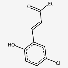 CCC(=O)/C=C/c1cc(Cl)ccc1O